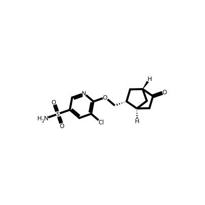 NS(=O)(=O)c1cnc(OC[C@@H]2C[C@H]3C[C@H]2CC3=O)c(Cl)c1